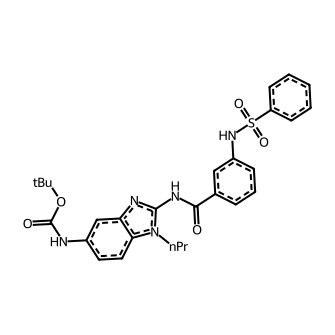 CCCn1c(NC(=O)c2cccc(NS(=O)(=O)c3ccccc3)c2)nc2cc(NC(=O)OC(C)(C)C)ccc21